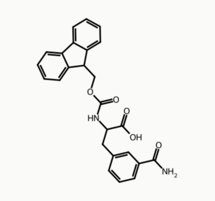 NC(=O)c1cccc(CC(NC(=O)OCC2c3ccccc3-c3ccccc32)C(=O)O)c1